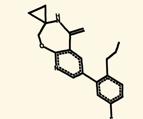 C=C1NC2(CC2)COc2ncc(-c3cc(F)ccc3CCC)cc21